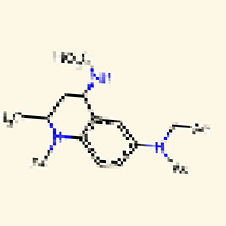 CC(=O)CN(C(C)=O)c1ccc2c(c1)[C@H](NC(=O)O)C[C@H](C)N2C(C)=O